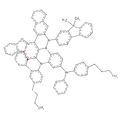 CCCCc1ccc(N(c2ccccc2)c2ccc3c(c2)N(c2ccc(CCCC)cc2-c2ccccc2)c2cc4c(oc5ccccc54)c4c2B3N(c2ccc3c(c2)C(C)(C)c2ccccc2-3)c2cc3ccccc3cc2-4)cc1